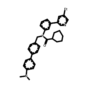 CCc1cncc(-c2cccc(N(Cc3ccc(-c4ccc(N(C)C)cc4)cc3)C(=O)C3CCCCC3)c2)c1